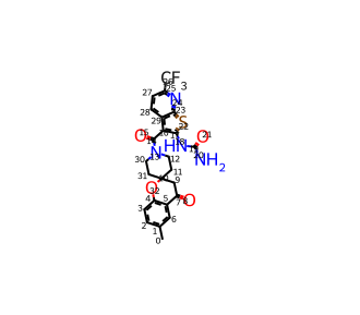 Cc1ccc2c(c1)C(=O)CC1(CCN(C(=O)c3c(NC(N)=O)sc4nc(C(F)(F)F)ccc34)CC1)O2